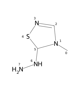 CN1C=NSC1NN